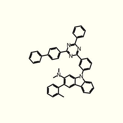 Cc1ccccc1-c1cc2c3ccccc3n(-c3cccc(-c4nc(-c5ccccc5)nc(-c5ccc(-c6ccccc6)cc5)n4)c3)c2cc1N(C)C